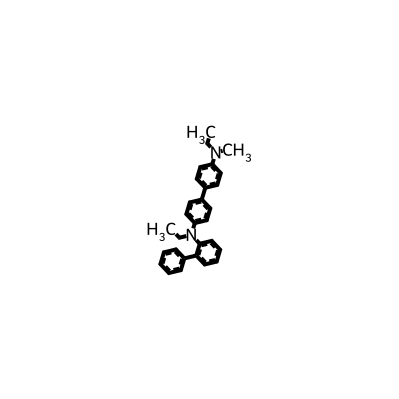 CCN(C)c1ccc(-c2ccc(N(CC)c3ccccc3-c3ccccc3)cc2)cc1